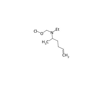 C=CCCC(C)N(CC)COCl